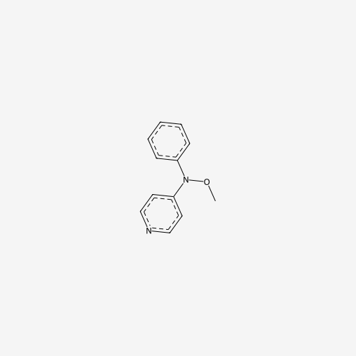 CON(c1ccccc1)c1ccncc1